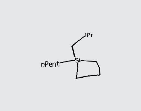 CCCCC[Si]1(CC(C)C)CCC1